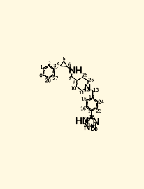 c1ccc([C@@H]2C[C@H]2NCC2CCN(Cc3ccc(-c4nnn[nH]4)cc3)CC2)cc1